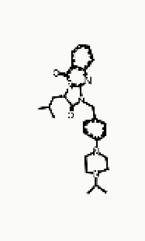 CC(C)CC1C(=O)N(Cc2ccc(N3CCN(C(C)C)CC3)cc2)c2nc3ccccc3c(=O)n21